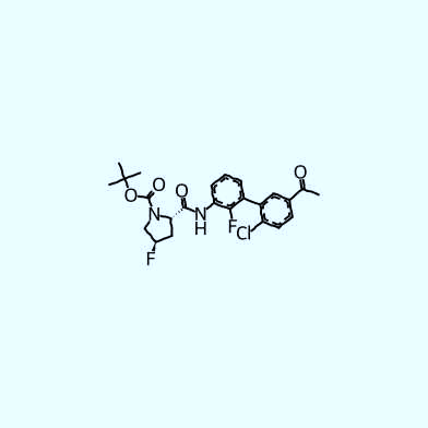 CC(=O)c1ccc(Cl)c(-c2cccc(NC(=O)[C@@H]3C[C@@H](F)CN3C(=O)OC(C)(C)C)c2F)c1